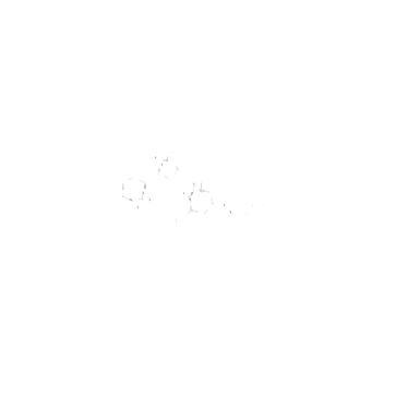 CCC1COC2(C1)CN(c1cnn(Cc3c(-c4ccc(C)nn4)noc3C)c(=O)c1)C2